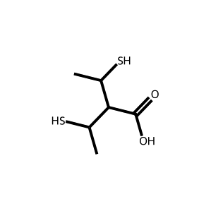 CC(S)C(C(=O)O)C(C)S